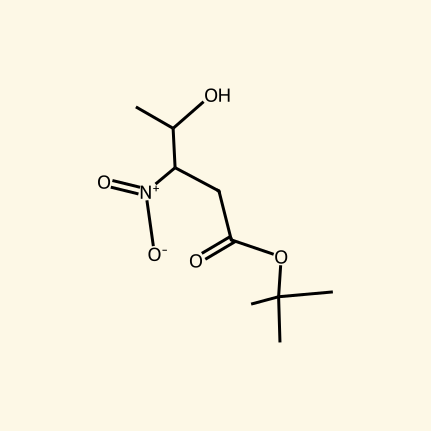 CC(O)C(CC(=O)OC(C)(C)C)[N+](=O)[O-]